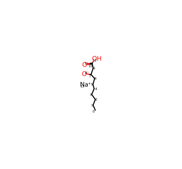 CCCCCCCC([O-])CC(=O)O.[Na+]